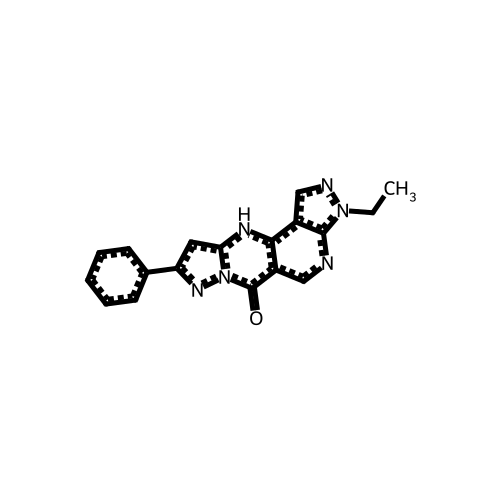 CCn1ncc2c3[nH]c4cc(-c5ccccc5)nn4c(=O)c3cnc21